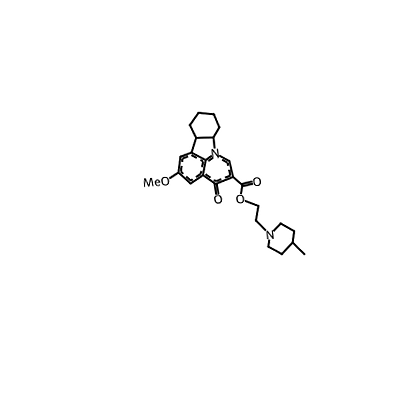 COc1cc2c3c(c1)c(=O)c(C(=O)OCCN1CCC(C)CC1)cn3C1CCCCC21